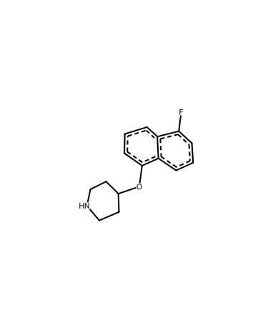 Fc1cccc2c(OC3CCNCC3)cccc12